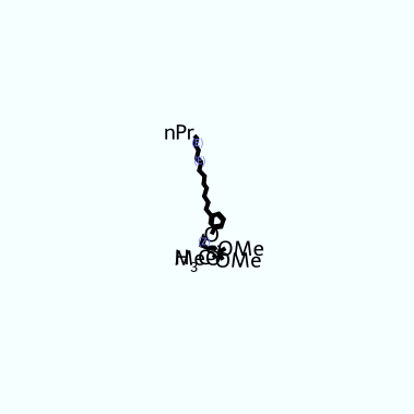 CCC/C=C/C/C=C/CCCCCCCc1cccc(O/C=C\C(C)C[Si](OC)(OC)OC)c1